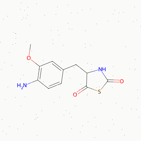 COc1cc(CC2NC(=O)SC2=O)ccc1N